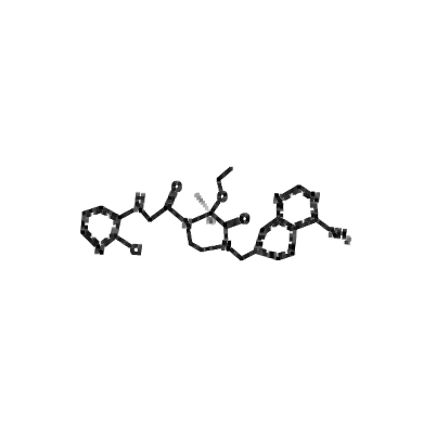 CCO[C@@]1(C)C(=O)N(Cc2ccc3c(N)ncnc3c2)CCN1C(=O)CNc1cccnc1Cl